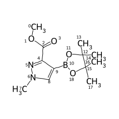 COC(=O)c1nn(C)cc1B1OC(C)(C)C(C)(C)O1